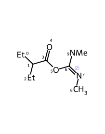 CCC(CC)C(=O)O/C(=N\C)NC